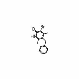 Cc1[nH]c(=O)c(Br)c(C)c1Cc1ccccc1